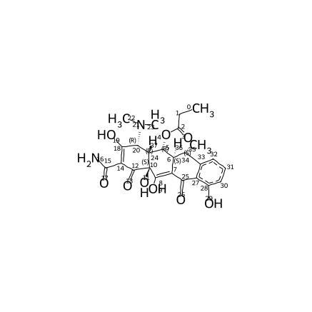 CCC(=O)O[C@@H]1[C@@H]2C(=C(O)[C@]3(O)C(=O)C(C(N)=O)=C(O)[C@H](N(C)C)[C@H]13)C(=O)c1c(O)cccc1[C@H]2C